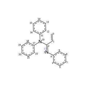 C=C/C(=N\c1ccccc1)N(c1ccccc1)c1ccccc1